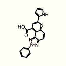 O=C(O)c1cc(-c2ccc[nH]2)nc2ccc3nn(-c4ccccc4)nc3c12